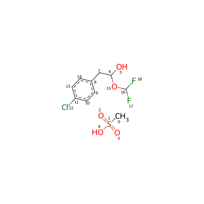 CS(=O)(=O)O.OC(Cc1ccc(Cl)cc1)OC(F)F